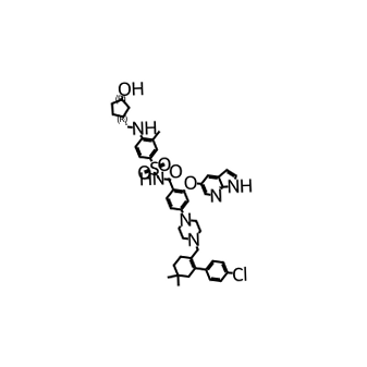 Cc1cc(S(=O)(=O)NC(=O)c2ccc(N3CCN(CC4=C(c5ccc(Cl)cc5)CC(C)(C)CC4)CC3)cc2Oc2cnc3[nH]ccc3c2)ccc1NC[C@@H]1CC[C@@H](O)C1